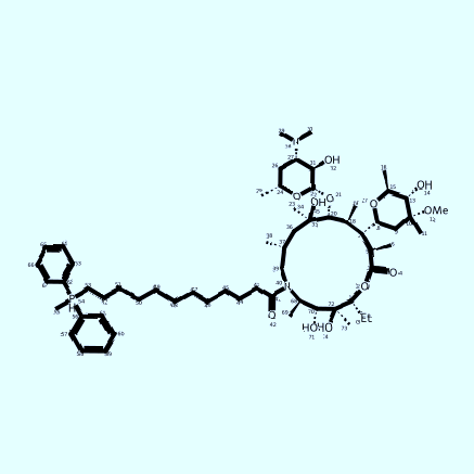 CC[C@H]1OC(=O)[C@H](C)[C@@H](C2C[C@@](C)(OC)[C@@H](O)[C@H](C)O2)[C@H](C)[C@@H](O[C@@H]2O[C@H](C)C[C@H](N(C)C)[C@H]2O)[C@](C)(O)C[C@@H](C)CN(C(=O)CCCCCCCCCCC[PH](C)(c2ccccc2)c2ccccc2)[C@H](C)[C@@H](O)[C@]1(C)O